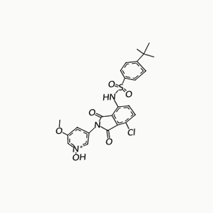 COc1cc(N2C(=O)c3c(Cl)ccc(NS(=O)(=O)c4ccc(C(C)(C)C)cc4)c3C2=O)c[n+](O)c1